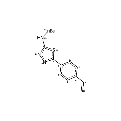 C=Cc1ccc(-c2nnc(NCCCC)s2)cc1